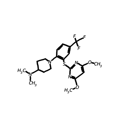 COc1cc(OC)nc(Sc2cc(C(F)(F)F)ccc2N2CCC(N(C)C)CC2)n1